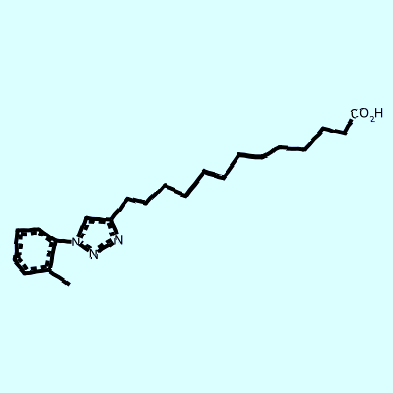 Cc1ccccc1-n1cc(CCCCCCCCCCCCC(=O)O)nn1